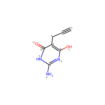 C#CCc1c(O)nc(N)[nH]c1=O